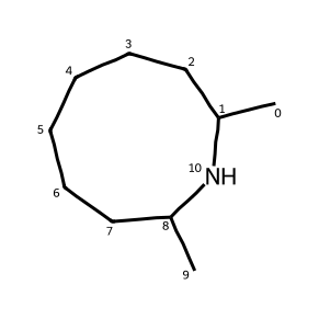 CC1CCCCCCC(C)N1